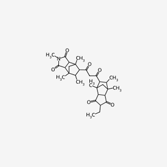 CCC1C(=O)C2C(C1=O)C1(C)CC2(C)C(C)C1C(=O)CC(=O)C1C(C)C2(C)CC1(C)C1C(=O)N(C)C(=O)C12